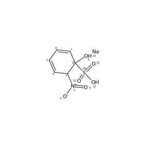 O=[N+]([O-])C1C=CC=CC1(O)S(=O)(=O)O.[Na]